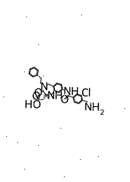 NCc1ccc(C(=O)Nc2ccc3c(c2)N[C@H](CC(=O)O)C(=O)N(CCc2ccccc2)C3)cc1Cl